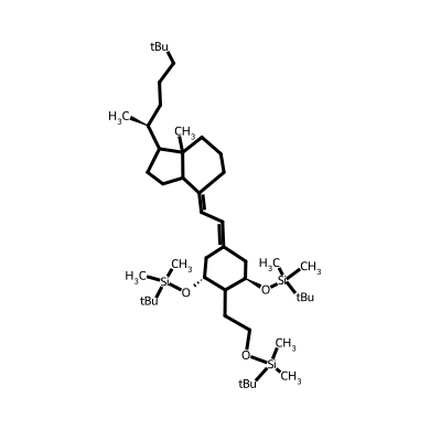 C[C@@H](CCCC(C)(C)C)C1CCC2/C(=C/C=C3C[C@@H](O[Si](C)(C)C(C)(C)C)C(CCO[Si](C)(C)C(C)(C)C)[C@H](O[Si](C)(C)C(C)(C)C)C3)CCCC21C